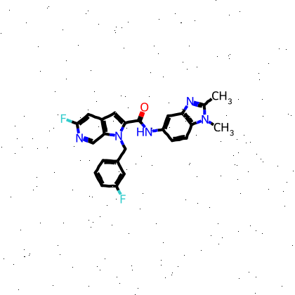 Cc1nc2cc(NC(=O)c3cc4cc(F)ncc4n3Cc3cccc(F)c3)ccc2n1C